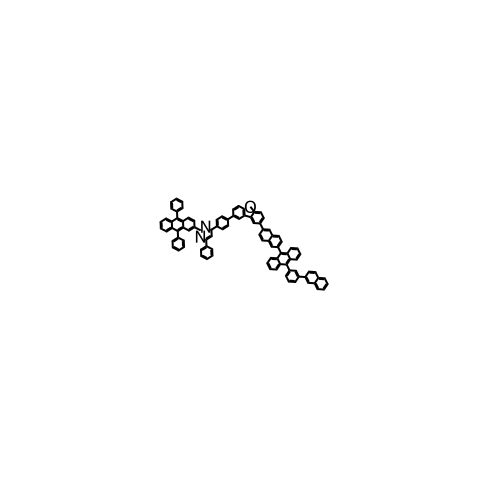 c1ccc(-c2cc(-c3ccc(-c4ccc5oc6ccc(-c7ccc8cc(-c9c%10ccccc%10c(-c%10cccc(-c%11ccc%12ccccc%12c%11)c%10)c%10ccccc9%10)ccc8c7)cc6c5c4)cc3)nc(-c3ccc4c(-c5ccccc5)c5ccccc5c(-c5ccccc5)c4c3)n2)cc1